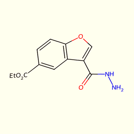 CCOC(=O)c1ccc2occ(C(=O)NN)c2c1